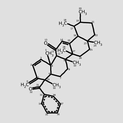 C=C1C=CC2(C)C(CCC3(C)C2C(=O)C=C2C4C(C)C(C)CCC4(C)CCC23C)C1(C)C(=O)c1ccccc1